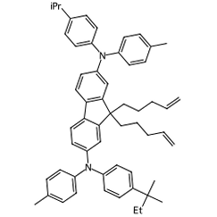 C=CCCCC1(CCCC=C)c2cc(N(c3ccc(C)cc3)c3ccc(C(C)C)cc3)ccc2-c2ccc(N(c3ccc(C)cc3)c3ccc(C(C)(C)CC)cc3)cc21